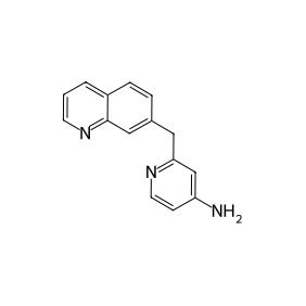 Nc1ccnc(Cc2ccc3cccnc3c2)c1